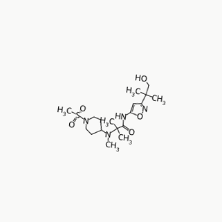 CN(C1CCN(S(C)(=O)=O)CC1)C(C)(C)C(=O)Nc1cc(C(C)(C)CO)no1